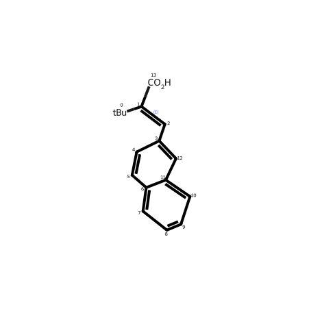 CC(C)(C)/C(=C\c1ccc2ccccc2c1)C(=O)O